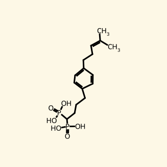 CC(C)=CCCc1ccc(CCCC(P(=O)(O)O)P(=O)(O)O)cc1